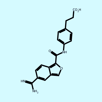 N=C(N)c1ccc2c(C(=O)Nc3ccc(CCC(=O)O)cc3)occ2c1